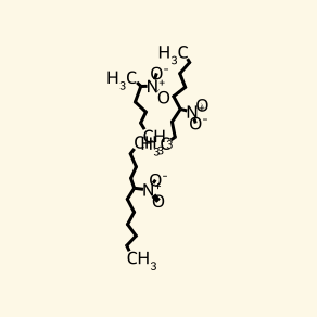 CCCCC(C)[N+](=O)[O-].CCCCCC(CCC)[N+](=O)[O-].CCCCCCC(CCCC)[N+](=O)[O-]